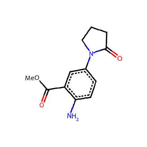 COC(=O)c1cc(N2CCCC2=O)ccc1N